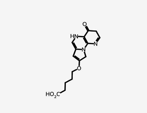 O=C(O)CCCCOC1=CC2=CNC3=C(N=CCC3=O)N2C1